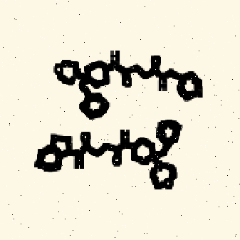 O=C(CCC(=O)NC1CCC(Cc2ccccc2)(N2CCOCC2)CC1)NCc1ccncc1.O=C(CCC(=O)NC1CCc2ccccc21)NC1CCC(Cc2ccccc2)(N2CCOCC2)CC1